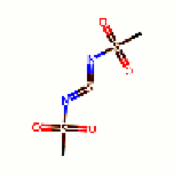 CS(=O)(=O)N=S=NS(C)(=O)=O